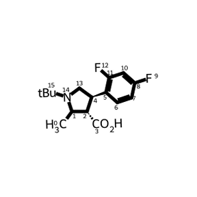 CC1[C@@H](C(=O)O)[C@H](c2ccc(F)cc2F)CN1C(C)(C)C